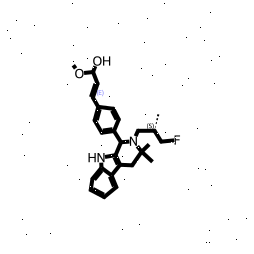 COC(O)/C=C/c1ccc(C2c3[nH]c4ccccc4c3CC(C)(C)N2C[C@H](C)CF)cc1